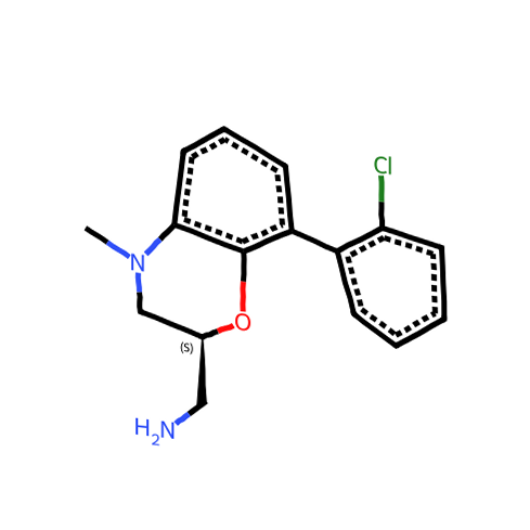 CN1C[C@H](CN)Oc2c(-c3ccccc3Cl)cccc21